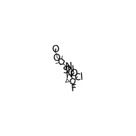 Cc1cc(-c2nnc(N(CC3CC3)C(=O)c3ccc(F)cc3Cl)s2)cc(C)c1OCC=O